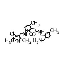 Cc1ccc(CN)c(CNC(=O)Cc2c(C)ccn(NCc3c(C)nn(C)c3Cl)c2=O)c1